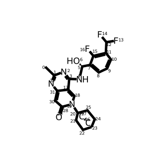 Cc1nc(N[C@H](O)c2cccc(C(F)F)c2F)c2cn(C34CCC(CC3)CC4)c(=O)cc2n1